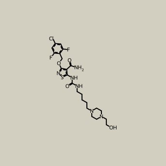 NC(=O)c1c(OCc2c(F)cc(Cl)cc2F)nsc1NC(=O)NCCCCCN1CCN(CCO)CC1